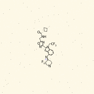 CN1CC/C(=N\c2cccc3c2cc(-c2noc(CNC(=O)[C@H]4C[C@@H](C)C4)n2)n3CC(F)(F)F)[C@@H](F)C1